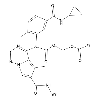 CCCNC(=O)c1cn2ncnc(N(C(=O)OCOC(=O)CC)c3cc(C(=O)NC4CC4)ccc3C)c2c1C